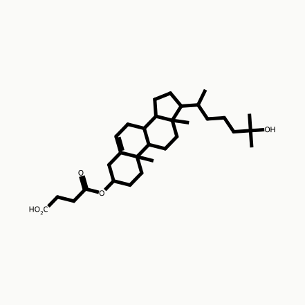 CC(CCCC(C)(C)O)C1CCC2C3CC=C4CC(OC(=O)CCC(=O)O)CCC4(C)C3CCC12C